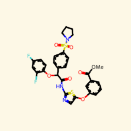 COC(=O)c1cccc(Oc2cnc(NC(=O)C(Oc3ccc(F)cc3F)c3ccc(S(=O)(=O)N4CCCC4)cc3)s2)c1